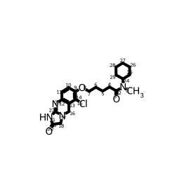 CN(C(=O)CCCCOc1ccc2c(c1Cl)CN1CC(=O)NC1=N2)C1CCCCC1